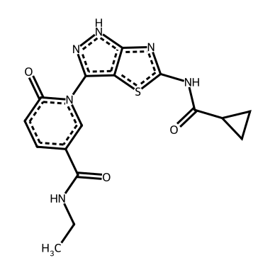 CCNC(=O)c1ccc(=O)n(-c2n[nH]c3nc(NC(=O)C4CC4)sc23)c1